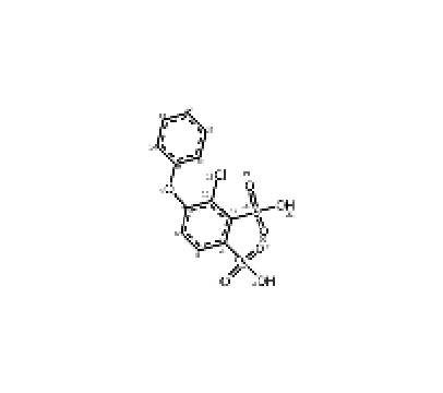 O=S(=O)(O)c1ccc(Oc2ccccc2)c(Cl)c1S(=O)(=O)O